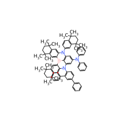 CC1(C)CCC(C)(C)c2cc(N3c4cc5c(cc4B4c6cc7c(cc6N(c6ccc(-c8ccccc8)cc6-c6ccccc6)c6cc(N(c8ccccc8)c8ccccc8)cc3c64)C(C)(C)CCC7(C)C)C(C)(C)CCC5(C)C)ccc21